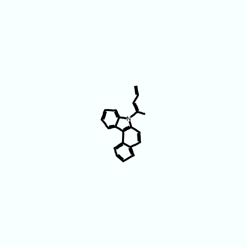 C=C/C=C(\C)n1c2ccccc2c2c3ccccc3ccc21